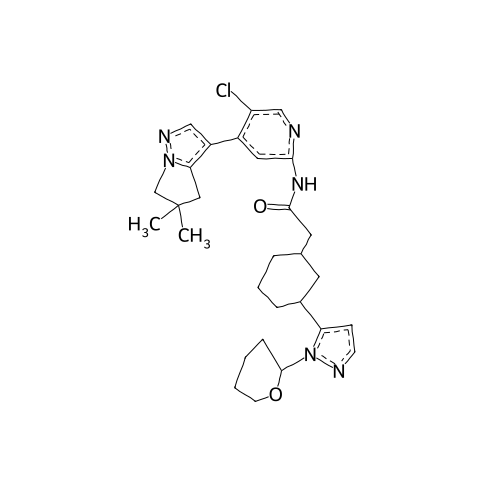 CC1(C)Cc2c(-c3cc(NC(=O)CC4CCCC(c5ccnn5C5CCCCO5)C4)ncc3Cl)cnn2C1